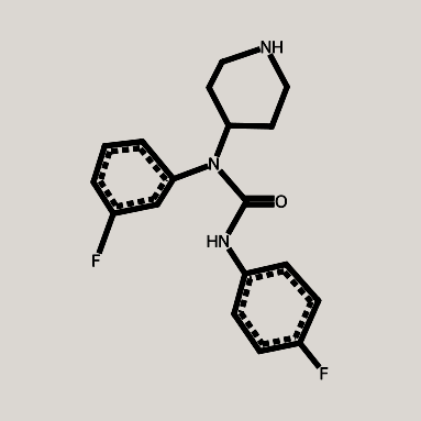 O=C(Nc1ccc(F)cc1)N(c1cccc(F)c1)C1CCNCC1